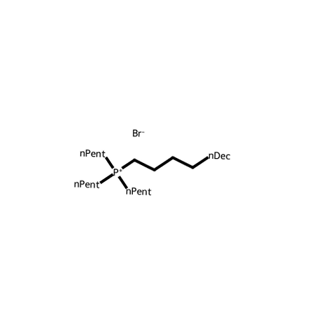 CCCCCCCCCCCCCC[P+](CCCCC)(CCCCC)CCCCC.[Br-]